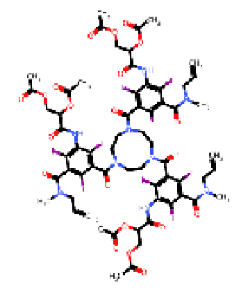 C=CCN(C)C(=O)c1c(I)c(NC(=O)C(COC(C)=O)OC(C)=O)c(I)c(C(=O)N2CCN(C(=O)c3c(I)c(NC(=O)C(COC(C)=O)OC(C)=O)c(I)c(C(=O)N(C)CC=C)c3I)CCN(C(=O)c3c(I)c(NC(=O)C(COC(C)=O)OC(C)=O)c(I)c(C(=O)N(C)CC=C)c3I)CC2)c1I